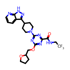 O=C(NCC(F)(F)F)c1nc(OCC2CCCO2)nc(N2CCC(c3n[nH]c4ncccc34)CC2)n1